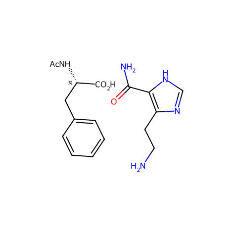 CC(=O)N[C@@H](Cc1ccccc1)C(=O)O.NCCc1nc[nH]c1C(N)=O